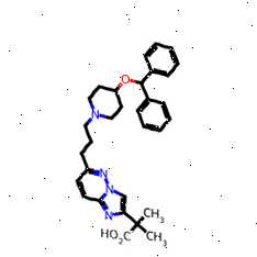 CC(C)(C(=O)O)c1cn2nc(CCCN3CCC(OC(c4ccccc4)c4ccccc4)CC3)ccc2n1